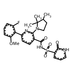 COc1cccc(F)c1-c1ccc(C(=O)NS(=O)(=O)c2ccc[nH]c2=O)c(N2CCC(C)C2(C)C)n1